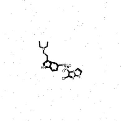 CCN(CC)CCc1c[nH]c2ccc(NS(=O)(=O)C3C(Cl)=NC4SC=CN43)cc12